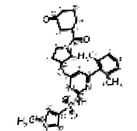 Cc1cccc(C)c1-c1cc(OC2CCN(C(=O)C3CCCC(=O)C3)C2)nc(NS(=O)(=O)c2cnn(C)c2)n1